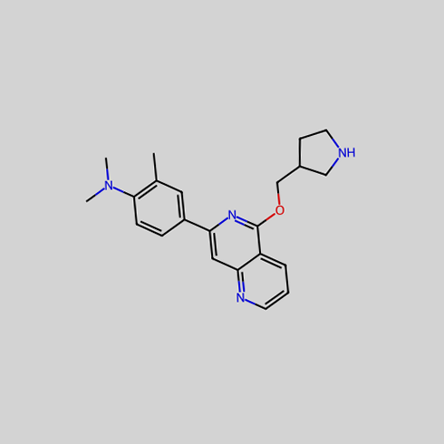 Cc1cc(-c2cc3ncccc3c(OCC3CCNC3)n2)ccc1N(C)C